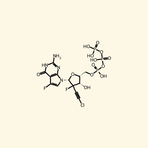 Nc1nc2c(c(F)cn2[C@@H]2O[C@H](COP(=O)(O)OP(=O)(O)OP(=O)(O)O)[C@H](O)C2(F)C#CCl)c(=O)[nH]1